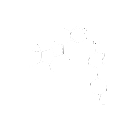 Cc1c(-c2nc(Nc3ccc(C4CCN(C)CC4)cn3)ncc2F)sc2c1C(=O)N(C)C21CC1